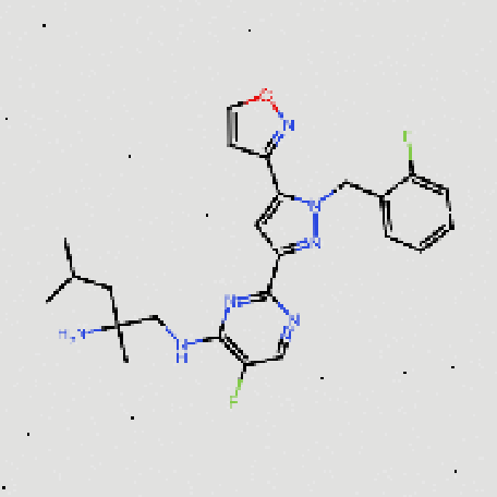 CC(C)CC(C)(N)CNc1nc(-c2cc(-c3ccon3)n(Cc3ccccc3F)n2)ncc1F